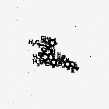 CCCC1(c2ccccc2CC)CC(O)=C(C(c2cccc(NS(=O)(=O)c3ccc(C(F)(F)F)cn3)c2)C(C)(C)C)C(=O)O1